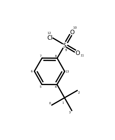 CC(C)(C)c1cccc(S(=O)(=O)Cl)c1